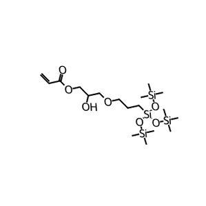 C=CC(=O)OCC(O)COCCC[Si](O[Si](C)(C)C)(O[Si](C)(C)C)O[Si](C)(C)C